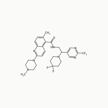 Cc1ccc2nc(N3CCN(C)CC3)ccc2c1C(=O)NCC(c1cnc(C(F)(F)F)nc1)N1CCC(F)(F)CC1